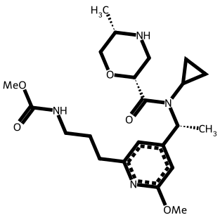 COC(=O)NCCCc1cc([C@@H](C)N(C(=O)[C@H]2CN[C@@H](C)CO2)C2CC2)cc(OC)n1